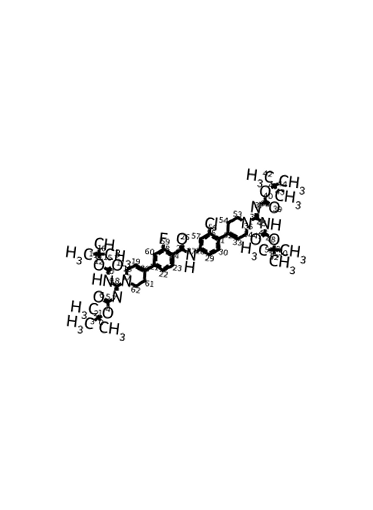 CC(C)(C)OC(=O)N=C(NC(=O)OC(C)(C)C)N1CC=C(c2ccc(C(=O)Nc3ccc(C4=CCN(C(=NC(=O)OC(C)(C)C)NC(=O)OC(C)(C)C)CC4)c(Cl)c3)c(F)c2)CC1